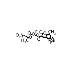 Cc1cc(S(F)(F)(F)(F)F)cc2c1OC(C(F)(F)F)C(C(=O)OCOC(=O)OC(C)CO[N+](=O)[O-])=C2